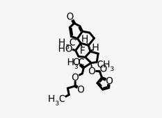 CCCC(=O)OCC(=O)[C@@]1(OC(=O)c2ccco2)C(C)C[C@H]2[C@@H]3CCC4=CC(=O)C=C[C@]4(C)[C@@]3(F)C(O)C[C@@]21C